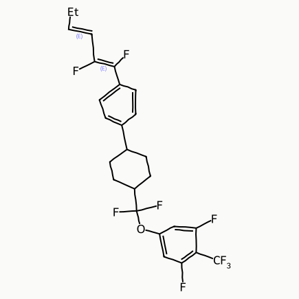 CC/C=C/C(F)=C(\F)c1ccc(C2CCC(C(F)(F)Oc3cc(F)c(C(F)(F)F)c(F)c3)CC2)cc1